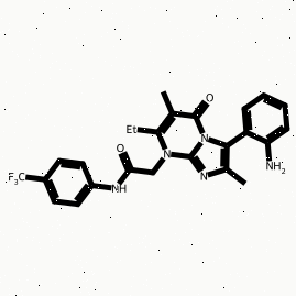 CCc1c(C)c(=O)n2c(-c3ccccc3N)c(C)nc2n1CC(=O)Nc1ccc(C(F)(F)F)cc1